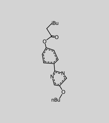 CCCCOc1cnc(-c2ccc(OC(=O)CC(C)CC)cc2)nc1